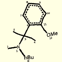 CCCCN(C)C(C)(C)c1ccccc1OC